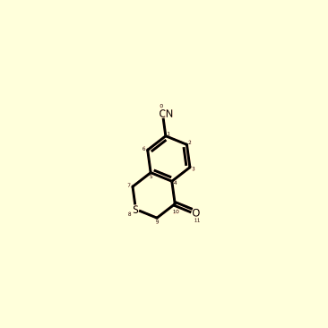 N#Cc1ccc2c(c1)CSCC2=O